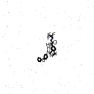 O=C(/C=C/C(F)(F)F)Nc1ccc2ncnc(Nc3ccc(Oc4ccccc4)cc3)c2c1